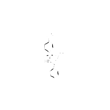 O=S(=O)(N[C@H](CCO)c1ccccc1)c1ccc(OC(F)(F)F)cc1